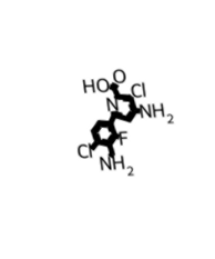 NCc1c(Cl)ccc(-c2cc(N)c(Cl)c(C(=O)O)n2)c1F